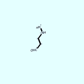 [CH2]CCNCCC=O